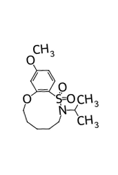 COc1ccc2c(c1)OCCCCCN(C(C)C)S2(=O)=O